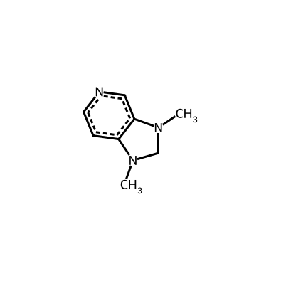 CN1CN(C)c2cnccc21